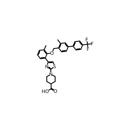 Cc1cc(-c2ccc(C(F)(F)F)cc2)ccc1COc1c(C)cccc1-c1csc(N2CCC(C(=O)O)CC2)n1